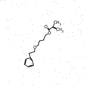 C=C(C)C(=O)OCCCCOCCc1ccccc1